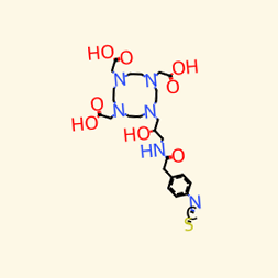 O=C(O)CN1CCN(CC(=O)O)CCN(CC(O)CNC(=O)Cc2ccc(N=C=S)cc2)CCN(CC(=O)O)CC1